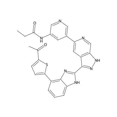 CCC(=O)Nc1cncc(-c2cc3c(-c4nc5c(-c6ccc(C(C)=O)s6)cccc5[nH]4)n[nH]c3cn2)c1